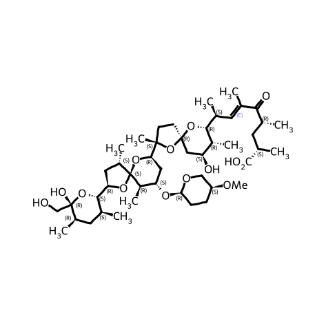 CO[C@H]1CC[C@@H](O[C@H]2C[C@H]([C@]3(C)CC[C@]4(C[C@H](O)[C@@H](C)[C@@H]([C@@H](C)/C=C(\C)C(=O)[C@H](C)C[C@H](C)C(=O)O)O4)O3)O[C@]3(O[C@@H]([C@H]4O[C@@](O)(CO)[C@H](C)C[C@@H]4C)C[C@@H]3C)[C@@H]2C)OC1